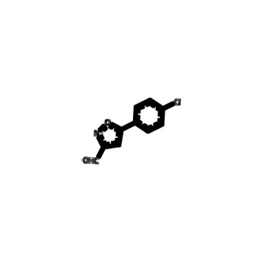 O=[C]c1cc(-c2ccc(Cl)cc2)on1